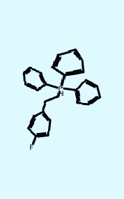 Fc1ccc(CC[PH](c2ccccc2)(c2ccccc2)c2ccccc2)cc1